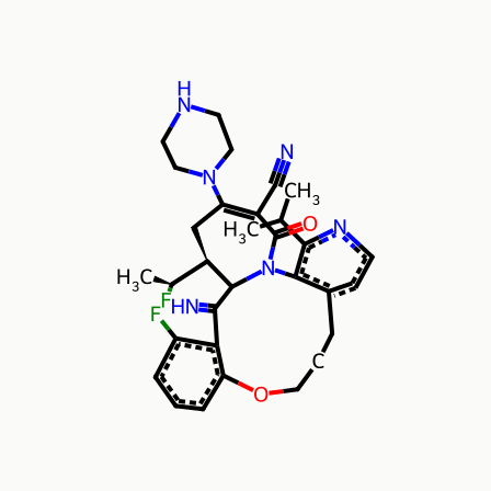 CC(C)c1nccc2c1N1C(=O)C(C#N)=C(N3CCNCC3)C[C@H]([C@H](C)F)C1C(=N)c1c(F)cccc1OCCC2